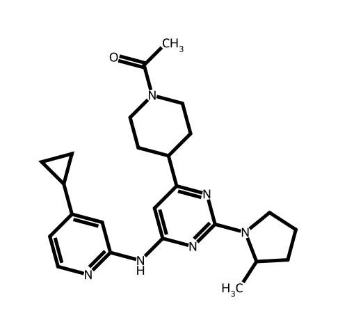 CC(=O)N1CCC(c2cc(Nc3cc(C4CC4)ccn3)nc(N3CCCC3C)n2)CC1